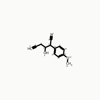 C#CCC(O)C(C#N)c1ccc(OC)cc1